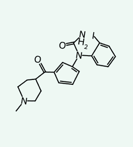 CN1CCC(C(=O)c2cccc(N(C(N)=O)c3ccccc3I)c2)CC1